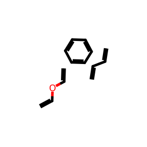 C=CC=C.C=COC=C.c1ccccc1